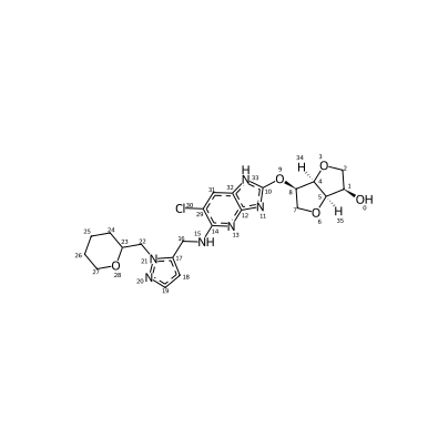 O[C@@H]1CO[C@H]2[C@@H]1OC[C@H]2Oc1nc2nc(NCc3ccnn3CC3CCCCO3)c(Cl)cc2[nH]1